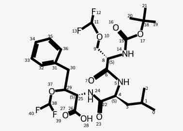 CC(C)C[C@H](NC(=O)[C@H](COC(F)F)NC(=O)OC(C)(C)C)C(=O)N[C@H](C(=O)O)C(Cc1ccccc1)OC(F)F